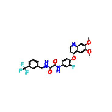 COc1cc2nccc(Oc3ccc(NC(=O)C(=O)NCc4cccc(C(F)(F)F)c4)cc3F)c2cc1OC